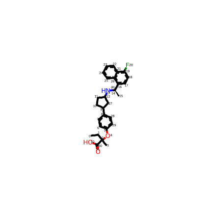 CCC(C)(Oc1ccc(C2CCC(N[C@H](C)c3ccc(F)c4ccccc34)C2)cc1)C(=O)O